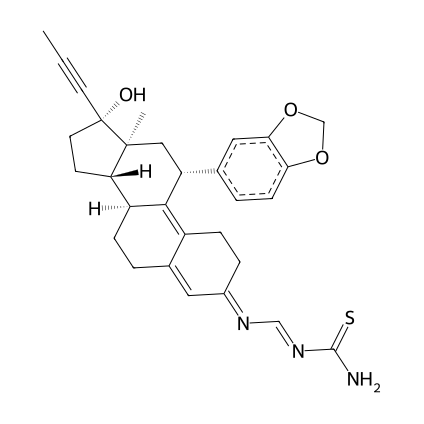 CC#C[C@]1(O)CC[C@H]2[C@@H]3CCC4=C/C(=N/C=N/C(N)=S)CCC4=C3[C@@H](c3ccc4c(c3)OCO4)C[C@@]21C